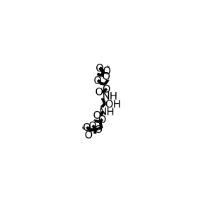 COC(=O)C1(C)OCC(OC(=O)NCC(O)CNC(=O)OC2COC(C)(C(=O)OC)OC2)CO1